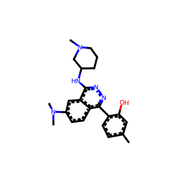 Cc1ccc(-c2nnc(NC3CCCN(C)C3)c3cc(N(C)C)ccc23)c(O)c1